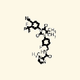 Cn1ccnc1C(=O)NCc1ccc(N2C(=O)N(c3ccc(C#N)c(C(F)(F)F)c3)C(=O)C2(C)C)cc1F